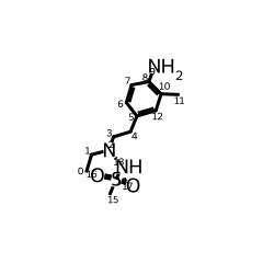 CCN(CCc1ccc(N)c(C)c1)NS(C)(=O)=O